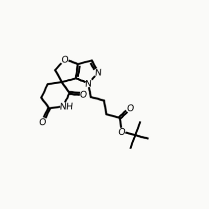 CC(C)(C)OC(=O)CCCn1ncc2c1C1(CCC(=O)NC1=O)CO2